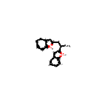 C[C](Cc1cc2ccccc2o1)c1cc2ccccc2o1